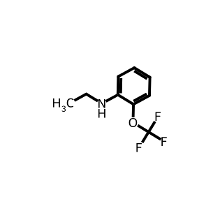 CCNc1ccccc1OC(F)(F)F